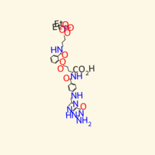 CCOP(=O)(OCC)OCCCCNC(=O)c1ccccc1OC(=O)CC[C@H](NC(=O)c1ccc(NCc2cnc3[nH]c(N)nc(=O)c3n2)cc1)C(=O)O